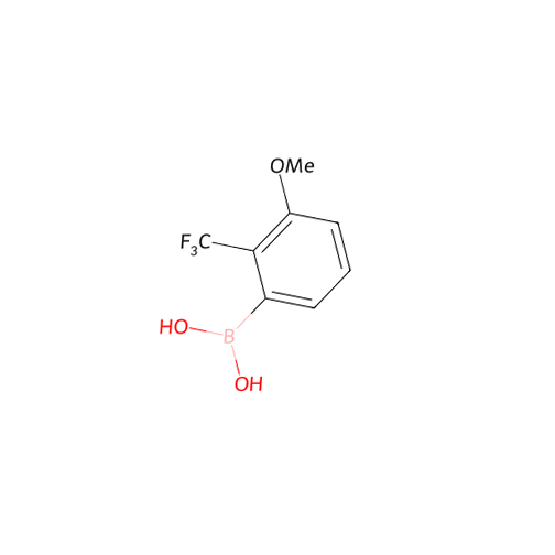 COc1cccc(B(O)O)c1C(F)(F)F